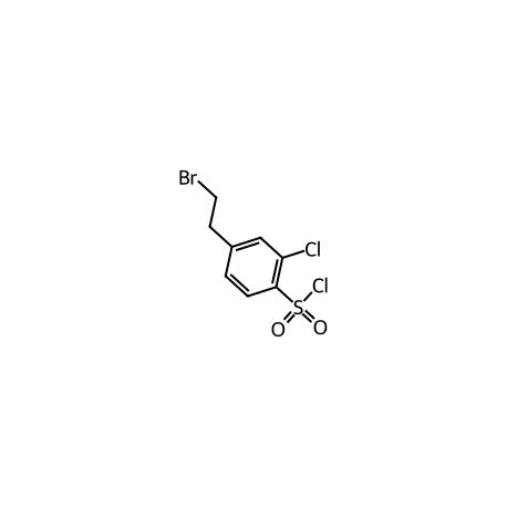 O=S(=O)(Cl)c1ccc(CCBr)cc1Cl